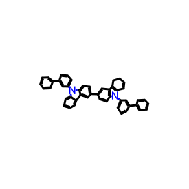 C1=Cc2c(c3cc(-c4ccc5c(c4)c4ccccc4n5-c4cccc(-c5ccccc5)c4)ccc3n2-c2cccc(-c3ccccc3)c2)CC1